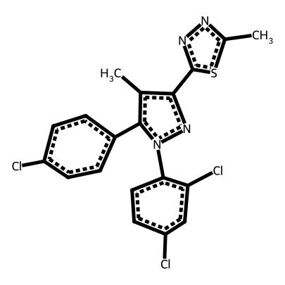 Cc1nnc(-c2nn(-c3ccc(Cl)cc3Cl)c(-c3ccc(Cl)cc3)c2C)s1